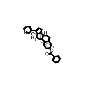 C[C@]12CC[C@H](OC(=O)c3ccccc3)CC1=CC[C@@H]1[C@@H]2CC[C@]2(C)C(c3cccnc3)=CC[C@@H]12